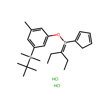 CC[C](CC)=[Ti]([O]c1cc(C)cc([Si](C)(C)C(C)(C)C)c1)[C]1=CC=CC1.Cl.Cl